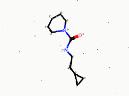 O=C([N]CCC1CC1)N1CCCCC1